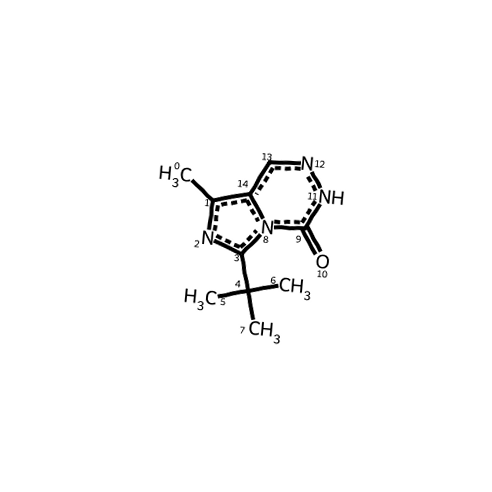 Cc1nc(C(C)(C)C)n2c(=O)[nH]ncc12